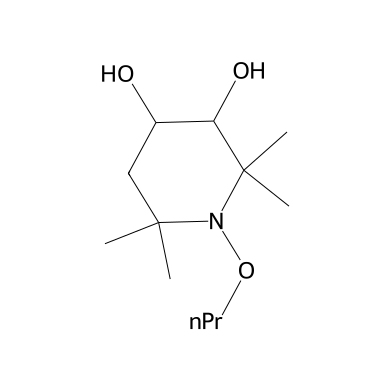 CCCON1C(C)(C)CC(O)C(O)C1(C)C